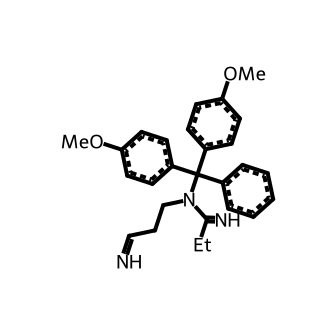 CCC(=N)N(CCC=N)C(c1ccccc1)(c1ccc(OC)cc1)c1ccc(OC)cc1